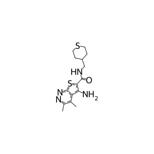 Cc1nnc2sc(C(=O)NCC3CCSCC3)c(N)c2c1C